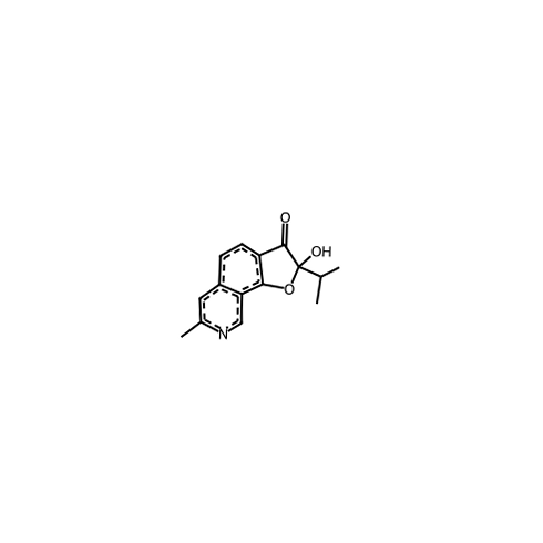 Cc1cc2ccc3c(c2cn1)OC(O)(C(C)C)C3=O